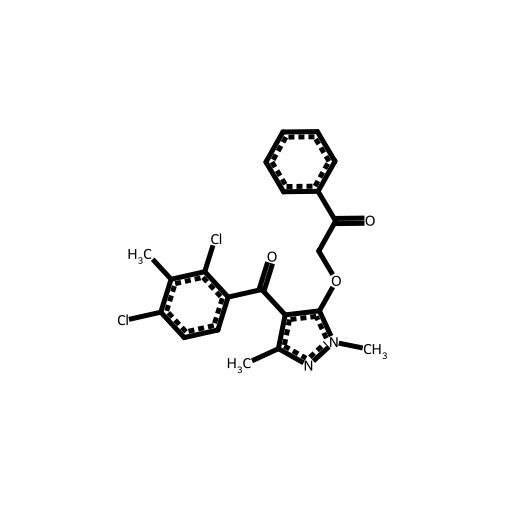 Cc1nn(C)c(OCC(=O)c2ccccc2)c1C(=O)c1ccc(Cl)c(C)c1Cl